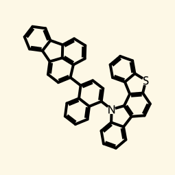 c1ccc2c(c1)-c1cccc3c(-c4ccc(-n5c6ccccc6c6ccc7sc8ccccc8c7c65)c5ccccc45)ccc-2c13